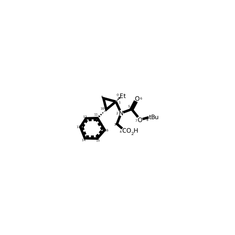 CC[C@@]1(N(CC(=O)O)C(=O)OC(C)(C)C)C[C@H]1c1ccccc1